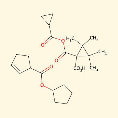 CC1(C)C(C)(C)C1(C(=O)O)C(=O)OC(=O)C1CC1.O=C(OC1CCCC1)C1C=CCC1